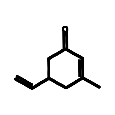 C=CC1CC(=O)C=C(C)C1